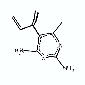 C=CC(=C)c1c(C)nc(N)nc1N